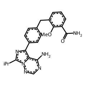 COc1c(Cc2ccc(-c3nc(C(C)C)n4ncnc(N)c34)cc2)cccc1C(N)=O